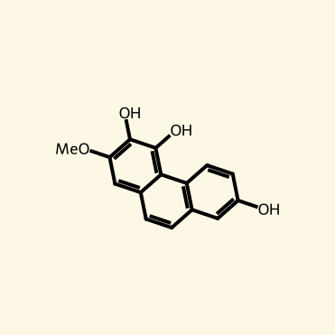 COc1cc2ccc3cc(O)ccc3c2c(O)c1O